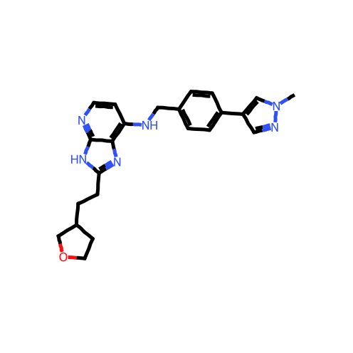 Cn1cc(-c2ccc(CNc3ccnc4[nH]c(CCC5CCOC5)nc34)cc2)cn1